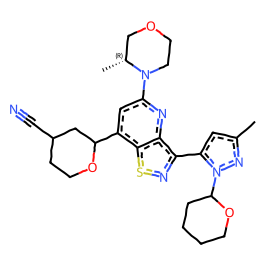 Cc1cc(-c2nsc3c(C4CC(C#N)CCO4)cc(N4CCOC[C@H]4C)nc23)n(C2CCCCO2)n1